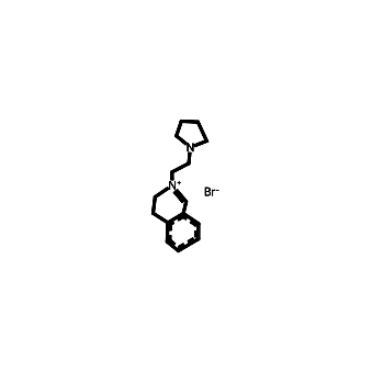 C1=[N+](CCN2CCCC2)CCc2ccccc21.[Br-]